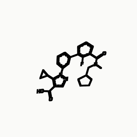 CN(CC1CCCC1)C(=O)c1cccc(-c2cccc(-n3ncc(C(=O)O)c3C3CC3)c2)c1F